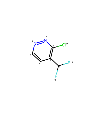 FC(F)c1ccnnc1Cl